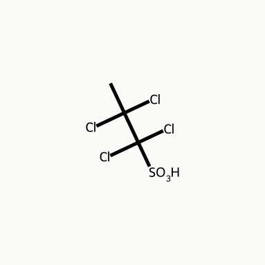 CC(Cl)(Cl)C(Cl)(Cl)S(=O)(=O)O